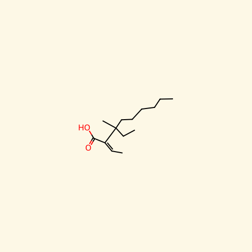 C/C=C(/C(=O)O)C(C)(CC)CCCCCC